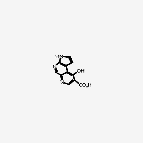 O=C(O)c1cnc2cnc3[nH]ccc3c2c1O